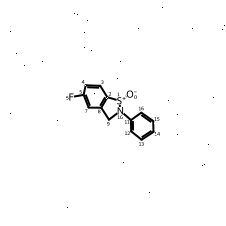 [O-][S+]1c2ccc(F)cc2CN1c1ccccc1